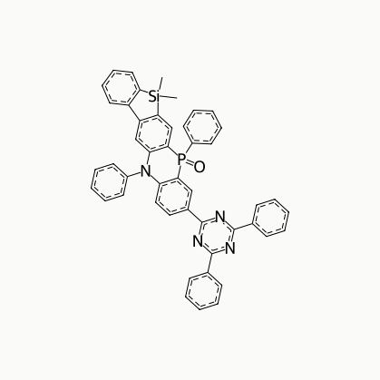 C[Si]1(C)c2ccccc2-c2cc3c(cc21)P(=O)(c1ccccc1)c1cc(-c2nc(-c4ccccc4)nc(-c4ccccc4)n2)ccc1N3c1ccccc1